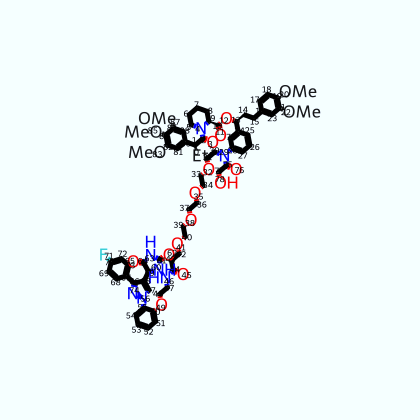 CC[C@H](C(=O)N1CCCC[C@H]1C(=O)O[C@@H](CCc1ccc(OC)c(OC)c1)c1cccc(N(CCOCCOCCOCCOCCC(=O)NCCOc2ccccc2-n2cc(C3NC(=O)NC3=O)c(-c3ccc(F)cc3)n2)C(=O)CO)c1)c1cc(OC)c(OC)c(OC)c1